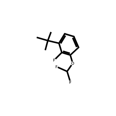 CC(C)(C)c1cccc(OC(F)F)c1F